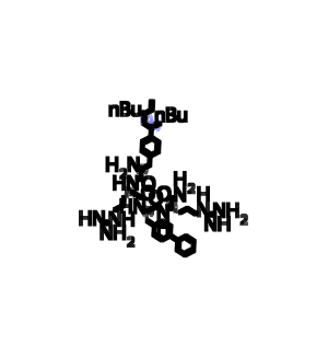 C=C/C(=C\C(=C/CCCC)c1ccc(C[C@H](N)C(=O)N[C@@H](CCCNC(=N)N)C(=O)N[C@@H](Cc2ccc(-c3ccccc3)cc2)C(=O)N[C@@H](CCCNC(=N)N)C(N)=O)cc1)CCCC